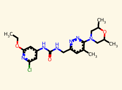 CCOc1cc(NC(=O)NCc2cc(C)c(N3CC(C)OC(C)C3)nn2)cc(Cl)n1